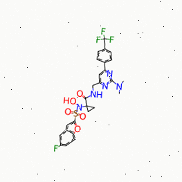 CN(C)c1nc(CNC(=O)C2(N(O)S(=O)(=O)c3cc4cc(F)ccc4o3)CC2)cc(-c2ccc(C(F)(F)F)cc2)n1